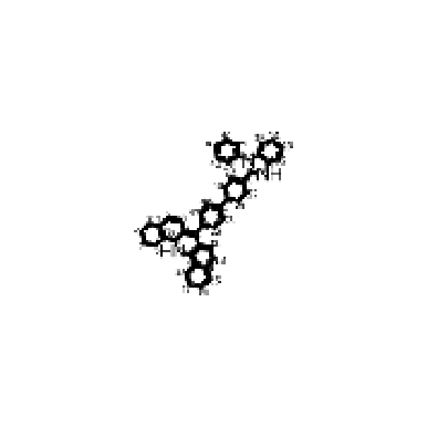 C1=Cc2ccccc2C2Nc3c(ccc4ccccc34)C(c3ccc(-c4ccc(C5Nc6ccccc6N5c5ccccc5)cc4)cc3)=C12